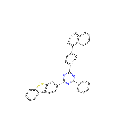 c1ccc(-c2nc(-c3ccc(-c4cccc5ccccc45)cc3)nc(-c3ccc4c(c3)sc3ccccc34)n2)cc1